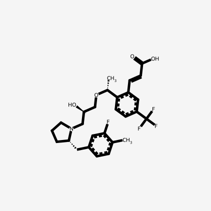 Cc1ccc(C[C@@H]2CCCN2C[C@@H](O)CO[C@H](C)c2ccc(C(F)(F)F)cc2/C=C/C(=O)O)cc1F